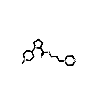 CN1CCC(N2CCCC2C(=O)OCCCN2CCOCC2)CC1